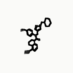 CC(C)c1ccc(N(Cc2cnn(CC3CCCCC3)c2)C(=O)C2CCCc3c(O)cccc32)cc1